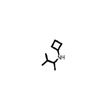 CC(C)C(C)NC1CCC1